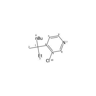 CCCCC(C)(CC)c1ccncc1Cl